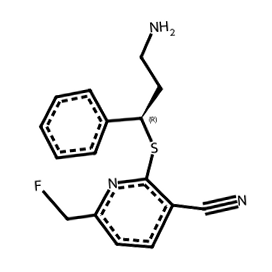 N#Cc1ccc(CF)nc1S[C@H](CCN)c1ccccc1